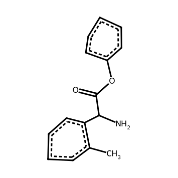 Cc1ccccc1C(N)C(=O)Oc1ccccc1